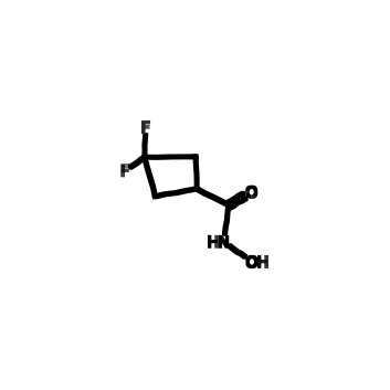 O=C(NO)C1CC(F)(F)C1